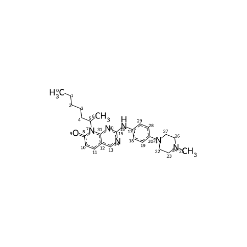 CCCCCC(C)n1c(=O)ccc2cnc(Nc3ccc(N4CCN(C)CC4)cc3)nc21